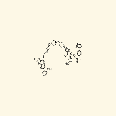 CC(C)[C@@H](C(=O)N1C[C@H](O)C[C@H]1C(=O)N[C@@H](C)c1ccc(-c2ccnn2C)cc1)c1cc(N2CCC(CN3CCC(OC4CC(OCC#Cc5cn6cc(-c7ccccc7O)nc6nc5N)C4)CC3)CC2)no1